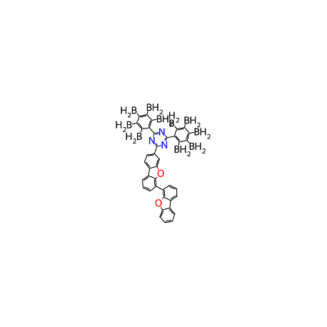 Bc1c(B)c(B)c(-c2nc(-c3ccc4c(c3)oc3c(-c5cccc6c5oc5ccccc56)cccc34)nc(-c3c(B)c(B)c(B)c(B)c3B)n2)c(B)c1B